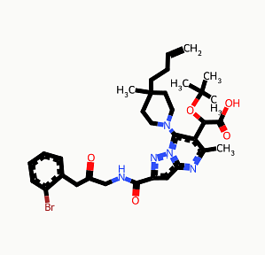 C=CCCC1(C)CCN(c2c(C(OC(C)(C)C)C(=O)O)c(C)nc3cc(C(=O)NCC(=O)Cc4ccccc4Br)nn23)CC1